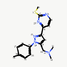 CSc1nccc(-c2cc(CN(C)C)n(-c3ccc(C)cc3)n2)n1